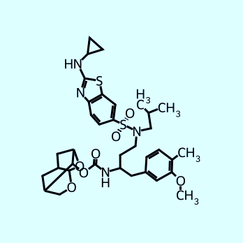 COc1cc(CC(CCN(CC(C)C)S(=O)(=O)c2ccc3nc(NC4CC4)sc3c2)NC(=O)OC2C3COC4OC2CC4C3)ccc1C